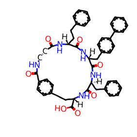 O=C1CCNC(=O)c2ccc(cc2)C[C@@H](C(=O)O)NC(=O)[C@H](Cc2ccccc2)NC(=O)[C@@H](Cc2ccc(-c3ccccc3)cc2)NC(=O)[C@@H](CCc2ccccc2)N1